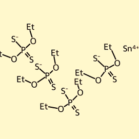 CCOP(=S)([S-])OCC.CCOP(=S)([S-])OCC.CCOP(=S)([S-])OCC.CCOP(=S)([S-])OCC.[Sn+4]